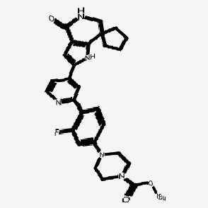 CC(C)(C)OC(=O)N1CCN(c2ccc(-c3cc(-c4cc5c([nH]4)C4(CCCC4)CNC5=O)ccn3)c(F)c2)CC1